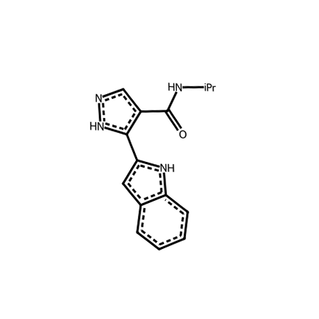 CC(C)NC(=O)c1cn[nH]c1-c1cc2ccccc2[nH]1